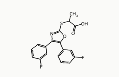 CC(Sc1nc(-c2cccc(F)c2)c(-c2cccc(F)c2)o1)C(=O)O